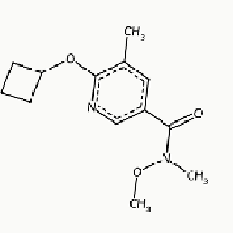 CON(C)C(=O)c1cnc(OC2CCC2)c(C)c1